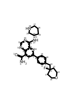 NC(=O)c1cc(-c2ccc(CC3(F)CCOCC3)cc2)nc2c(N[C@H]3CCCNC3)ncnc12